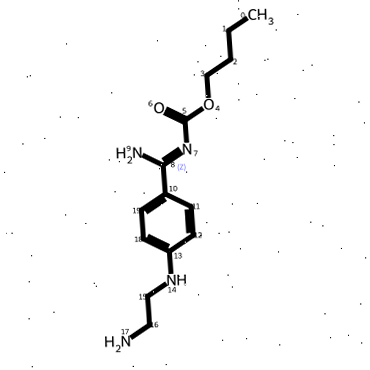 CCCCOC(=O)/N=C(\N)c1ccc(NCCN)cc1